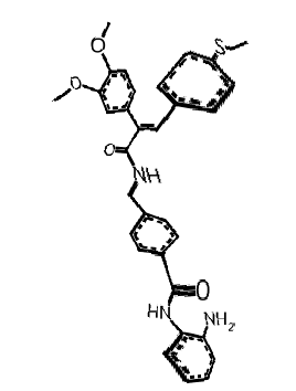 COc1ccc(/C(=C\c2ccc(SC)cc2)C(=O)NCc2ccc(C(=O)Nc3ccccc3N)cc2)cc1OC